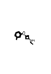 CCN[C@H]1C[C@@H](Oc2cccc(C)c2)C1